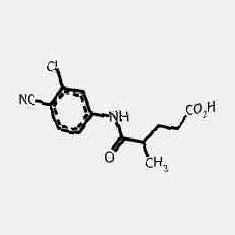 CC(CCC(=O)O)C(=O)Nc1ccc(C#N)c(Cl)c1